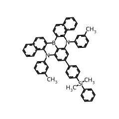 Cc1cccc(N2c3cc(-c4ccc([Si](C)(C)c5ccccc5)cc4)cc4c3B(c3ccc5ccccc5c32)c2ccc3ccccc3c2N4c2cccc(C)c2)c1